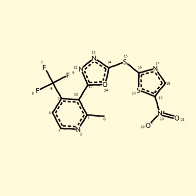 Cc1nccc(C(F)(F)F)c1-c1nnc(Sc2ncc([N+](=O)[O-])s2)o1